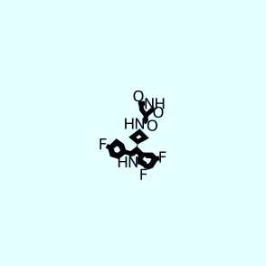 O=C1CC(C(=O)N[C@H]2C[C@@H](c3c(-c4ccc(F)cc4)[nH]c4c(F)cc(F)cc43)C2)C(=O)N1